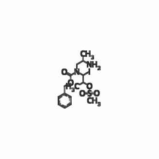 CC(N)CN(C(=O)OCc1ccccc1)C(I)C(C)OS(C)(=O)=O